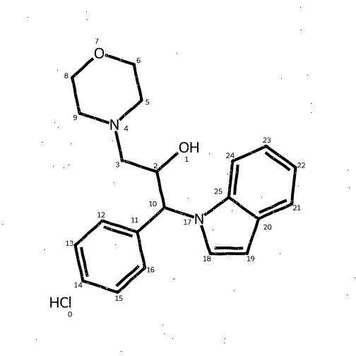 Cl.OC(CN1CCOCC1)C(c1ccccc1)n1ccc2ccccc21